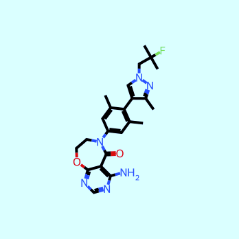 Cc1cc(N2CCOc3ncnc(N)c3C2=O)cc(C)c1-c1cn(CC(C)(C)F)nc1C